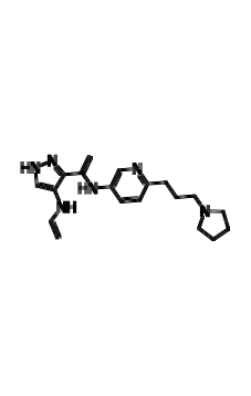 C=CNc1c[nH]nc1C(=C)Nc1ccc(CCCN2CCCC2)nc1